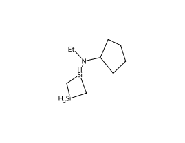 CCN(C1CCCC1)[SiH]1C[SiH2]C1